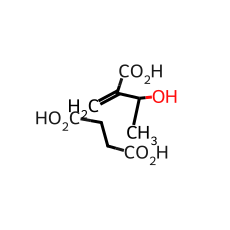 C=C(C(=O)O)C(C)O.O=C(O)CCC(=O)O